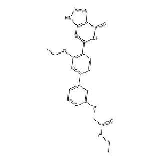 CCOC(=O)COc1cccc(-c2ccc(-c3nc4[nH]nnc4c(=O)[nH]3)c(OCC)c2)c1